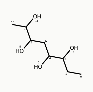 CCC(O)C(O)CC(O)C(C)O